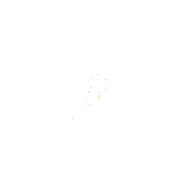 Cc1ccc2c(c1)cc(C1CCC1)[s+]2C(F)(F)F.[Br-]